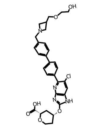 O=C(O)[C@@H]1C[C@H](Oc2nc3nc(-c4ccc(-c5ccc(CN6CC(COCCO)C6)cc5)cc4)c(Cl)cc3[nH]2)CCO1